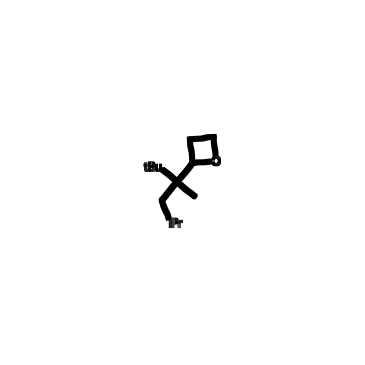 CC(C)CC(C)(C1CCO1)C(C)(C)C